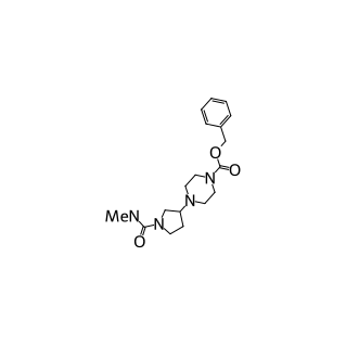 CNC(=O)N1CCC(N2CCN(C(=O)OCc3ccccc3)CC2)C1